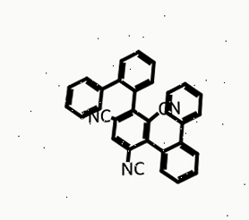 [C-]#[N+]c1cc(C#N)c(-c2ccccc2-c2ccccc2)c(C#N)c1-c1ccccc1-c1ccccc1